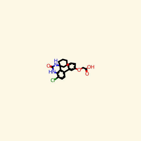 O=C(O)COc1cccc(-c2ccc(Cl)c3c2C2(CCCCC2)NC(=O)N3)c1